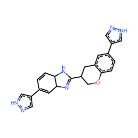 C1=CC2NC(C3COc4ccc(-c5cn[nH]c5)cc4C3)=NC2C=C1c1cn[nH]c1